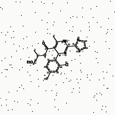 CCOC(=O)C(C)OC(=O)C1=C(C)NC(c2nccs2)=NC1c1ccc(F)cc1Cl